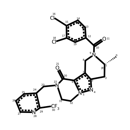 C[C@@H]1Cc2nn3c(c2CN1C(=O)c1ccc(Cl)c(Cl)c1)C(=O)N(Cc1cccnc1C(F)(F)F)CC3